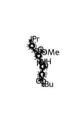 COC(=O)c1cc(-c2nc3cc(C4CCN(C(=O)OC(C)(C)C)CC4)cnc3[nH]2)ccc1OCc1ccc(CC(C)C)cc1